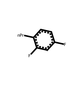 CCCc1ccc(F)[c]c1F